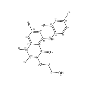 Cc1c(OCCO)c(=O)c2c(Nc3ccc(I)cc3F)cc(F)cc2n1C